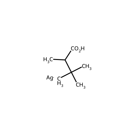 CC(C(=O)O)C(C)(C)C.[Ag]